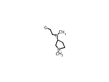 CN1CCC(N(C)CC[O])C1